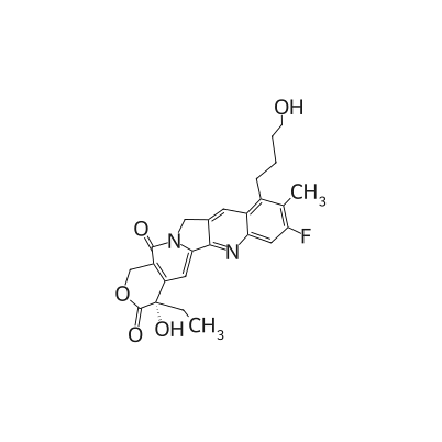 CC[C@@]1(O)C(=O)OCc2c1cc1n(c2=O)Cc2cc3c(CCCCO)c(C)c(F)cc3nc2-1